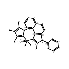 CC1=C(C)C(C)[C]([Zr]([CH3])([CH3])(=[SiH2])[C]2=C(C)C(c3ccccc3)c3ccc4ccccc4c32)=C1C